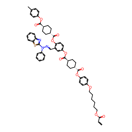 C=CC(=O)OCCCCCCOc1ccc(OC(=O)[C@H]2CC[C@H](C(=O)Oc3ccc(OC(=O)[C@H]4CC[C@H](C(=O)Oc5ccc(C)cc5)CC4)c(/C=N/N(c4ccccc4)c4nc5ccccc5s4)c3)CC2)cc1